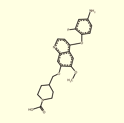 COc1cc2c(Oc3ccc(N)cc3F)ccnc2cc1OCC1CCN(C(=O)O)CC1